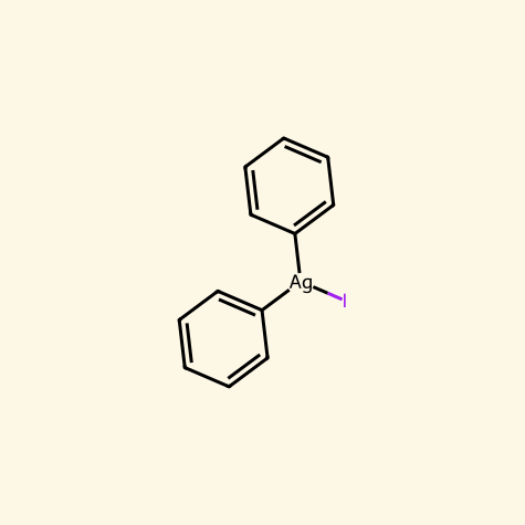 [I][Ag]([c]1ccccc1)[c]1ccccc1